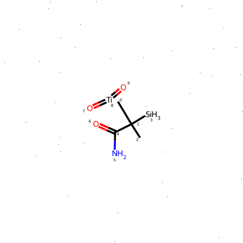 CC(C)([SiH3])C(N)=O.[O]=[Ti]=[O]